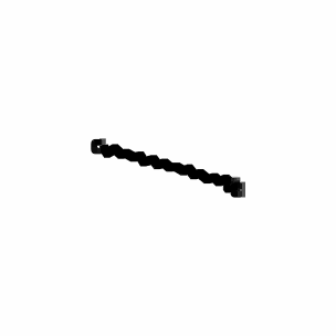 C[Si](C)(Cl)CCCCCCCCCCCCCCCCCCCCCl